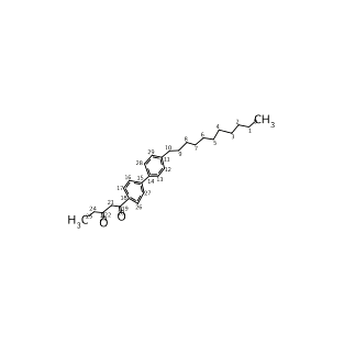 CCCCCCCCCCCc1ccc(-c2ccc(C(=O)CC(=O)CC)cc2)cc1